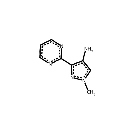 Cn1cc(N)c(-c2ncccn2)n1